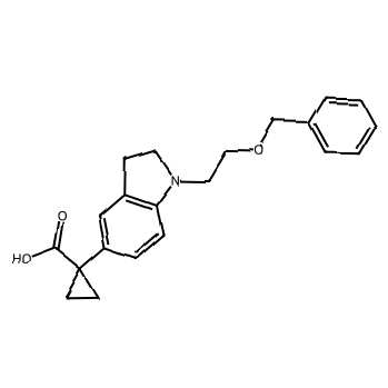 O=C(O)C1(c2ccc3c(c2)CCN3CCOCc2ccccc2)CC1